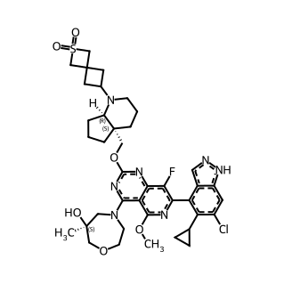 COc1nc(-c2c(C3CC3)c(Cl)cc3[nH]ncc23)c(F)c2nc(OC[C@]34CCC[C@H]3N(C3CC5(C3)CS(=O)(=O)C5)CCC4)nc(N3CCOC[C@@](C)(O)C3)c12